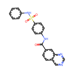 O=C(Nc1ccc(S(=O)(=O)Nc2ccccc2)cc1)c1ccc2cncnc2c1